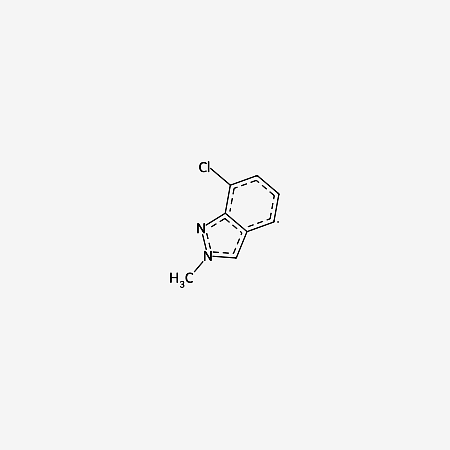 Cn1cc2[c]ccc(Cl)c2n1